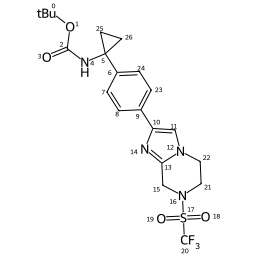 CC(C)(C)OC(=O)NC1(c2ccc(-c3cn4c(n3)CN(S(=O)(=O)C(F)(F)F)CC4)cc2)CC1